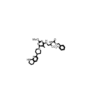 COc1nc(NCC(NC(=O)OCc2ccccc2)C(=O)O)c(C)c(N2CCC(c3ccc4c(n3)NCCC4)CC2)n1